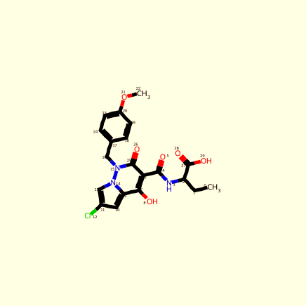 CCC(NC(=O)c1c(O)c2cc(Cl)cn2n(Cc2ccc(OC)cc2)c1=O)C(=O)O